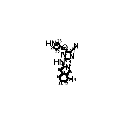 N#Cc1ncc(Nc2cc3cccc(I)c3cn2)nc1O[C@@H]1CCNC1